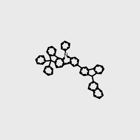 c1ccc(-n2c3ccc(-c4ccc5c(c4)-c4ccccc4C5c4ccc5ccccc5c4)cc3c3ccc4c(c32)-c2ccccc2C4(c2ccccc2)c2ccccc2)cc1